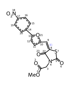 COC(=O)CN1C(=O)S/C(=C/c2ccc(-c3ccc([N+](=O)[O-])cc3)o2)C1=O